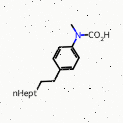 CCCCCCCCCc1ccc(N(C)C(=O)O)cc1